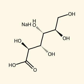 O=C(O)[C@@H](O)[C@@H](O)[C@H](O)[C@H](O)CO.[NaH]